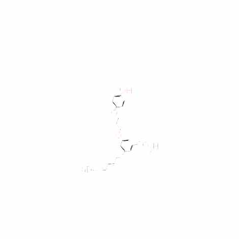 CCCCCCCCCCCCCCOc1cc(OCCCOc2ccc(O)cc2)cc(C(=O)O)c1